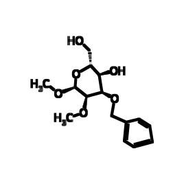 CO[C@H]1O[C@H](CO)[C@@H](O)[C@@H](OCc2ccccc2)[C@H]1OC